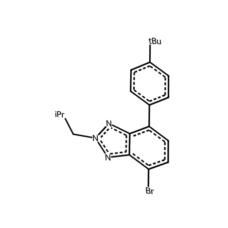 CC(C)Cn1nc2c(Br)ccc(-c3ccc(C(C)(C)C)cc3)c2n1